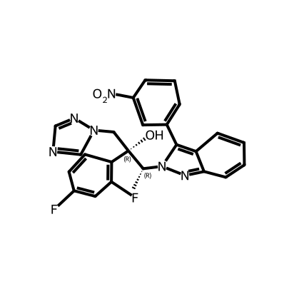 C[C@@H](n1nc2ccccc2c1-c1cccc([N+](=O)[O-])c1)[C@](O)(Cn1cncn1)c1ccc(F)cc1F